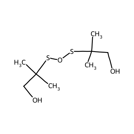 CC(C)(CO)SOSC(C)(C)CO